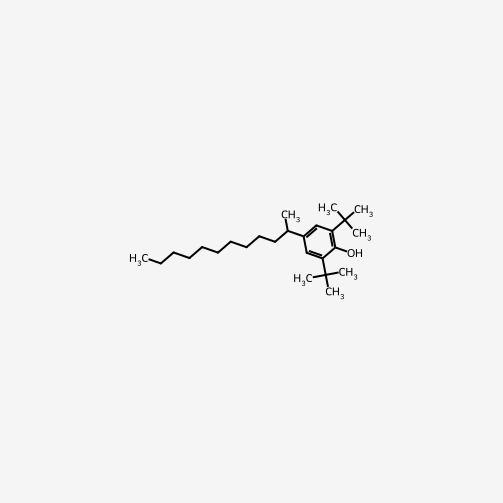 CCCCCCCCCCC(C)c1cc(C(C)(C)C)c(O)c(C(C)(C)C)c1